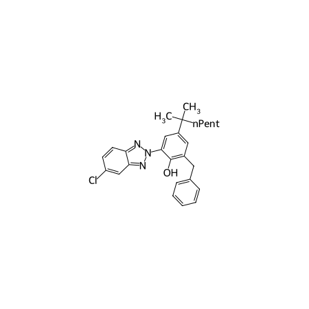 CCCCCC(C)(C)c1cc(Cc2ccccc2)c(O)c(-n2nc3ccc(Cl)cc3n2)c1